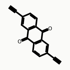 C#Cc1ccc2c(c1)C(=O)c1ccc(C#C)cc1C2=O